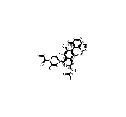 C=CC(=O)N1C[C@H](C)N(c2nc(NC(C)=O)nc3c(F)c(-c4c(C)ccc5cnn(C)c45)c(Cl)cc23)C[C@H]1C